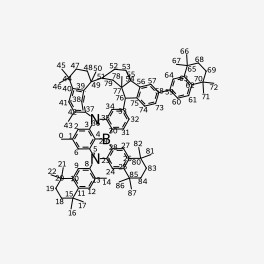 Cc1cc2c3c(c1)N(c1cc4c(cc1C)C(C)(C)CCC4(C)C)c1cc4c(cc1B3c1ccc3cc1N2c1cc2c(cc1C)C(C)(C)CCC2(C)C1CCC2(C)c5cc(-c6ccc7c(c6)C(C)(C)CCC7(C)C)ccc5C3C2(C)C1)C(C)(C)CCC4(C)C